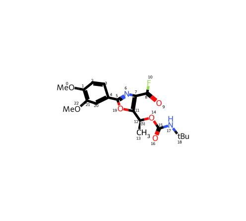 COc1ccc(-c2nc(C(=O)F)c([C@H](C)OC(=O)NC(C)(C)C)o2)cc1OC